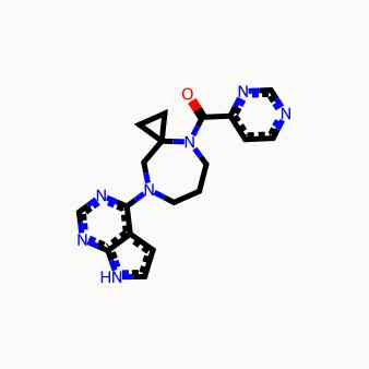 O=C(c1ccncn1)N1CCCN(c2ncnc3[nH]ccc23)CC12CC2